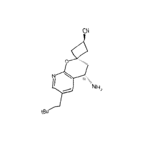 CC(C)(C)Cc1cnc2c(c1)[C@@H](N)C[C@]1(C[C@H](C#N)C1)O2